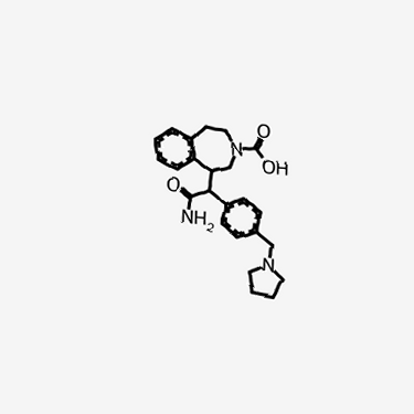 NC(=O)C(c1ccc(CN2CCCC2)cc1)C1CN(C(=O)O)CCc2ccccc21